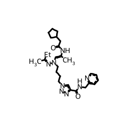 CC/C(C)=N\N(/C=C(\C)NC(=O)CC1CCCC1)CCCCn1cc(C(=O)NCc2ccccn2)nn1